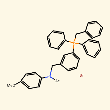 COc1ccc(N(Cc2cccc([P+](Cc3ccccc3)(c3ccccc3)c3ccccc3)c2)C(C)=O)cc1.[Br-]